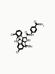 CC(C)(C)C[C@@H]1N[C@@H](C(=O)Nc2ccc(C(N)=O)cc2)[C@H](c2cccc(Cl)c2F)[C@]12C(=O)Nc1cc(Cl)cc(F)c12